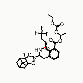 CCOC(=O)OC(C)OC(=O)c1cccc(CC(NC(=O)CCC(F)(F)F)B2OC3CC4CC(C4(C)C)C3(C)O2)c1OC